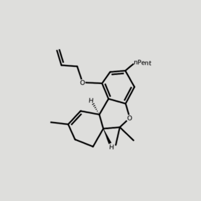 C=CCOc1cc(CCCCC)cc2c1[C@@H]1C=C(C)CC[C@H]1C(C)(C)O2